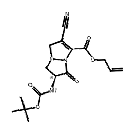 C=CCOC(=O)C1=C(C#N)CN2C[C@H](NC(=O)OC(C)(C)C)C(=O)N12